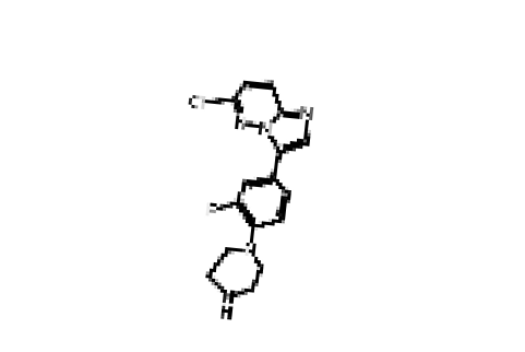 Fc1cc(-c2cnc3ccc(Cl)nn23)ccc1N1CCNCC1